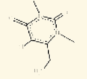 Cn1c(CN)c(Cl)c(=O)n(C)c1=O